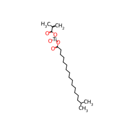 C=C(C)C(=O)[O][Ti](=[O])[O]C(=O)CCCCCCCCCCCCCCC(C)C